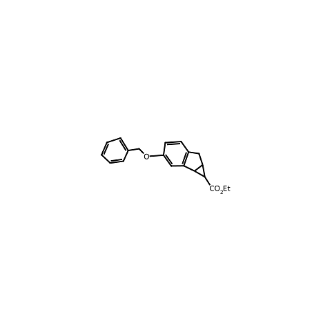 CCOC(=O)C1C2Cc3ccc(OCc4ccccc4)cc3C21